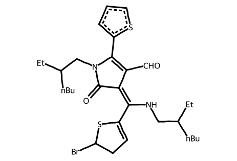 CCCCC(CC)CN/C(C1=CCC(Br)S1)=C1/C(=O)N(CC(CC)CCCC)C(c2cccs2)=C1C=O